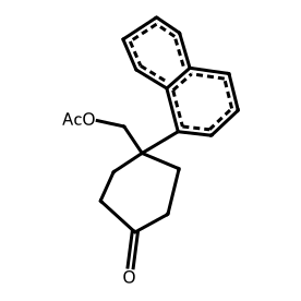 CC(=O)OCC1(c2cccc3ccccc23)CCC(=O)CC1